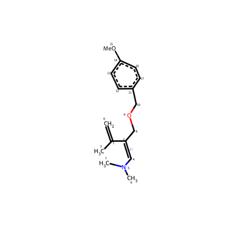 C=C(C)/C(=C\N(C)C)COCc1ccc(OC)cc1